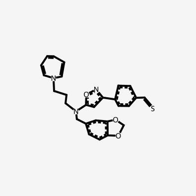 S=Cc1ccc(-c2cc(N(CCCN3C=CC=CC=C3)Cc3ccc4c(c3)OCO4)on2)cc1